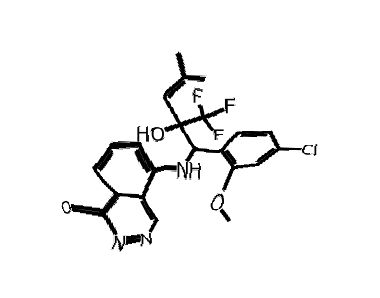 COc1cc(Cl)ccc1C(NC1=CC=CC2C(=O)N=NC=C12)C(O)(C=C(C)C)C(F)(F)F